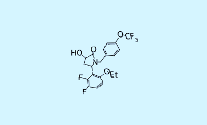 CCOc1ccc(F)c(F)c1C1CC(O)C(=O)N1Cc1ccc(OC(F)(F)F)cc1